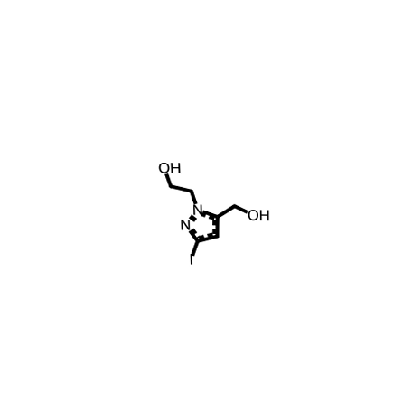 OCCn1nc(I)cc1CO